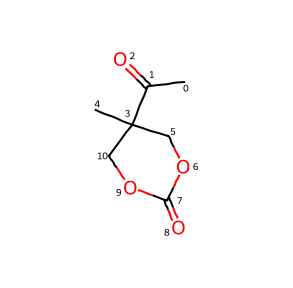 CC(=O)C1(C)COC(=O)OC1